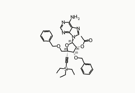 CC[Si](C#C[C@]1(COCc2ccccc2)O[C@@H](n2cnc3c(N)ncnc32)[C@H](OC(C)=O)[C@@H]1OCc1ccccc1)(CC)CC